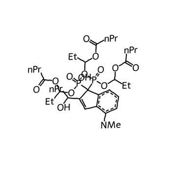 CCCC(=O)OC(CC)OP(=O)(O)C1(P(=O)(OC(CC)OC(=O)CCC)OC(CC)OC(=O)CCC)C(C(O)CCC)=Cc2c(NC)cccc21